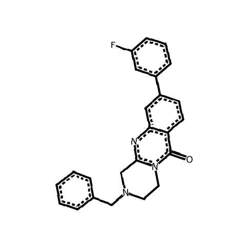 O=c1c2ccc(-c3cccc(F)c3)cc2nc2n1CCN(Cc1ccccc1)C2